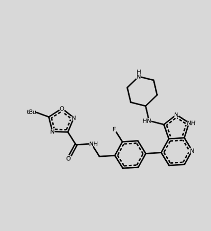 CC(C)(C)c1nc(C(=O)NCc2ccc(-c3ccnc4[nH]nc(NC5CCNCC5)c34)cc2F)no1